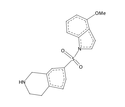 COc1cccc2c1ccn2S(=O)(=O)c1ccc2c(c1)CNCC2